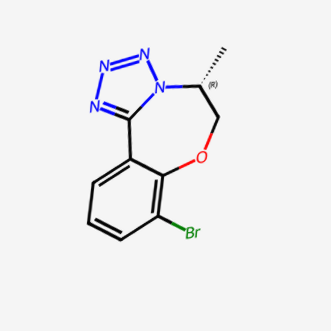 C[C@@H]1COc2c(Br)cccc2-c2nnnn21